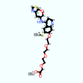 CC(C)(C)OC(=O)COCCOCCOCCOc1cc2nccc(NC3=Cc4ncsc4OC3)c2cc1SC(C)(C)C